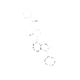 O=C(CN1CCN(c2cccc3c2cnn3-c2ccccn2)C1=O)N1CCCC1